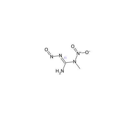 CN(/C(N)=N/N=O)[N+](=O)[O-]